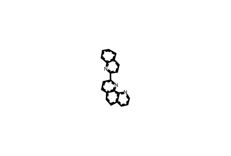 c1ccc2nc(-c3ccc4ccc5cccnc5c4n3)ccc2c1